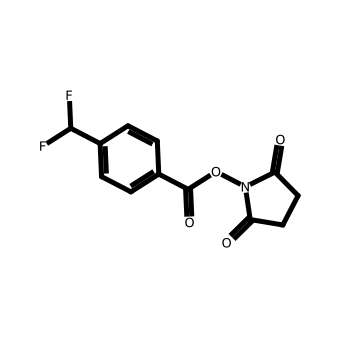 O=C(ON1C(=O)CCC1=O)c1ccc(C(F)F)cc1